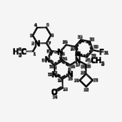 CCN1CCCCC1c1nc2nc(C=O)nc(N[C@H](C)C3CCC3)c2n1Cc1ccc(F)cc1